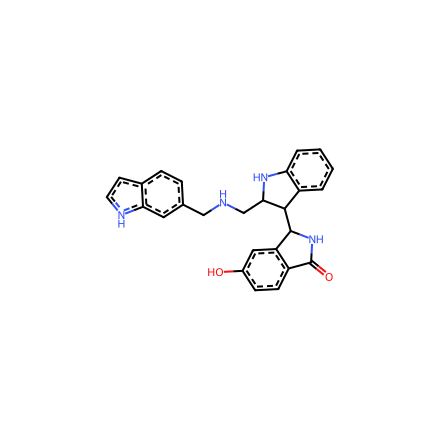 O=C1NC(C2c3ccccc3NC2CNCc2ccc3cc[nH]c3c2)c2cc(O)ccc21